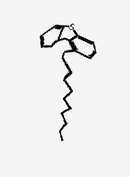 CCCCCCCCCCc1cccc2sc3ccccc3c12